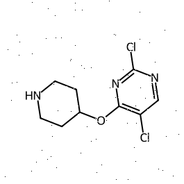 Clc1ncc(Cl)c(OC2CCNCC2)n1